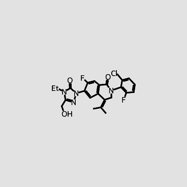 CCn1c(CO)nn(-c2cc3c(cc2F)C(=O)N(c2c(F)cccc2Cl)CC3=C(C)C)c1=O